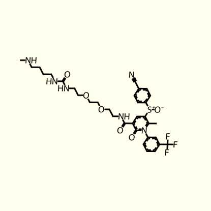 CNCCCCNC(=O)NCCOCCOCCNC(=O)c1cc([S+]([O-])c2ccc(C#N)cc2)c(C)n(-c2cccc(C(F)(F)F)c2)c1=O